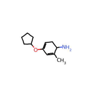 CC1=CC(OC2CCCC2)=CCC1N